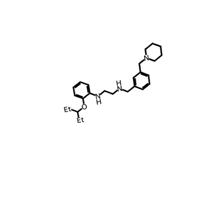 CCC(CC)Oc1ccccc1NCCNCc1cccc(CN2CCCCC2)c1